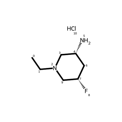 CCN1C[C@H](N)C[C@H](F)C1.Cl